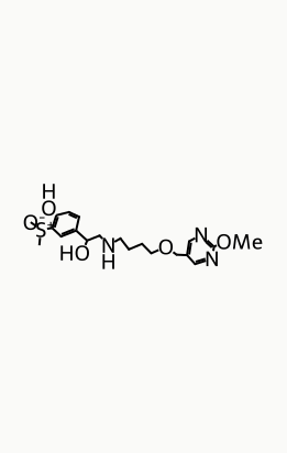 COc1ncc(COCCCCNCC(O)c2ccc(O)c([S+](C)[O-])c2)cn1